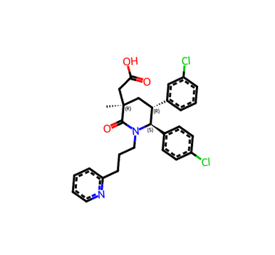 C[C@]1(CC(=O)O)C[C@H](c2cccc(Cl)c2)[C@@H](c2ccc(Cl)cc2)N(CCCc2ccccn2)C1=O